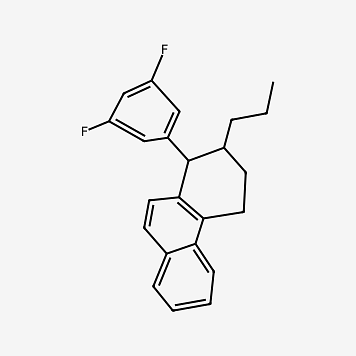 CCCC1CCc2c(ccc3ccccc23)C1c1cc(F)cc(F)c1